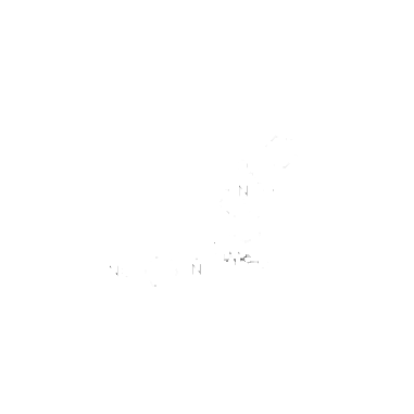 COC(C)(C1=Nc2ccc(C#N)cc2C1)c1c(S(C)(=O)=O)cc(C)c2c1ccn2S(=O)(=O)c1ccc(C)cc1